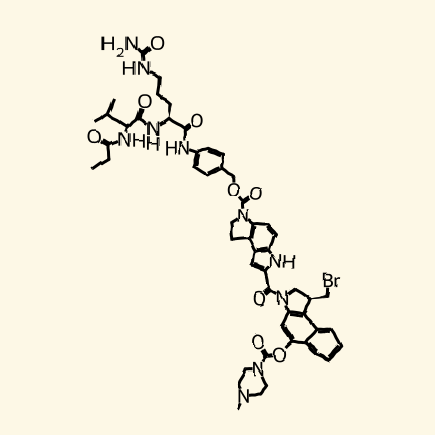 CCC(=O)N[C@H](C(=O)N[C@@H](CCCNC(N)=O)C(=O)Nc1ccc(COC(=O)N2CCc3c2ccc2[nH]c(C(=O)N4C[C@@H](CBr)c5c4cc(OC(=O)N4CCN(C)CC4)c4ccccc54)cc32)cc1)C(C)C